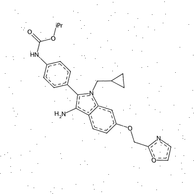 CC(C)OC(=O)Nc1ccc(-c2c(N)c3ccc(OCc4ncco4)cc3n2CC2CC2)cc1